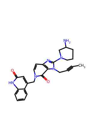 CC#CCn1c(N2CCCC(N)C2)nc2ccn(Cc3cc(=O)[nH]c4ccccc34)c(=O)c21